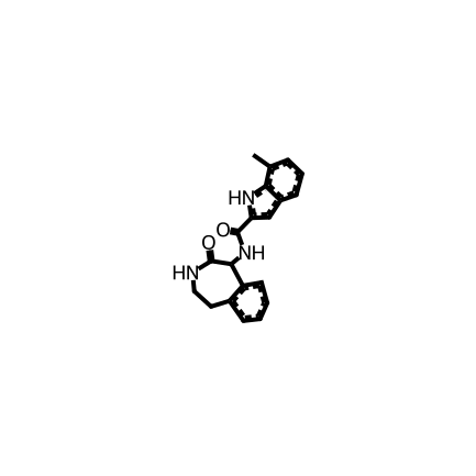 Cc1cccc2cc(C(=O)NC3C(=O)NCCc4ccccc43)[nH]c12